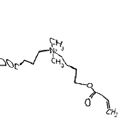 C=CC(=O)OCCCC[N+](C)(C)CCCC(=O)[O-]